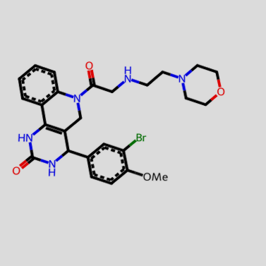 COc1ccc(C2NC(=O)NC3=C2CN(C(=O)CNCCN2CCOCC2)c2ccccc23)cc1Br